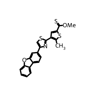 COC(=S)c1cc(-c2nc(-c3ccc4c(c3)oc3ccccc34)cs2)c(C)s1